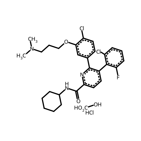 CN(C)CCCOc1cc(-c2nc(C(=O)NC3CCCCC3)ccc2-c2c(F)cccc2Cl)ccc1Cl.Cl.O=C(O)O